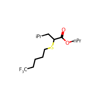 CCCOC(=O)C(CC(C)C)SCCCCC(F)(F)F